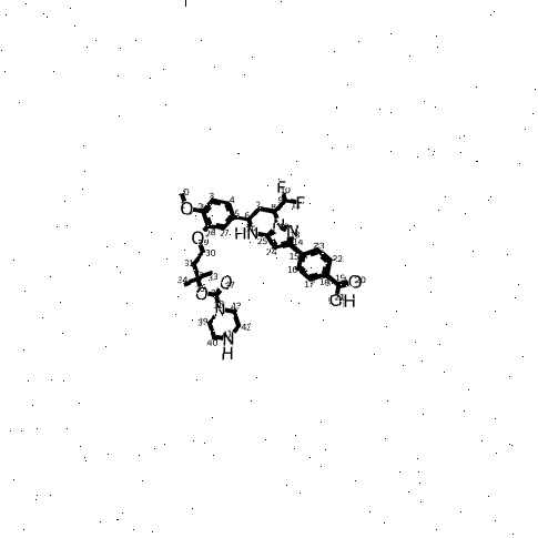 COc1ccc(C2CC(C(F)F)n3nc(-c4ccc(C(=O)O)cc4)cc3N2)cc1OCCC(C)(C)OC(=O)N1CCNCC1